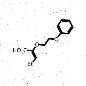 CCC=C(OCCOc1ccccc1)C(=O)O